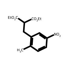 CCOC(=O)C(Cc1cc([N+](=O)[O-])ccc1C)C(=O)OCC